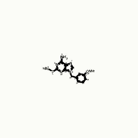 CCCCSc1nc(N)c2ncn(Cc3cccc(OC)c3)c2n1